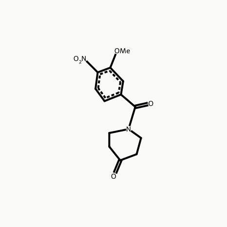 COc1cc(C(=O)N2CCC(=O)CC2)ccc1[N+](=O)[O-]